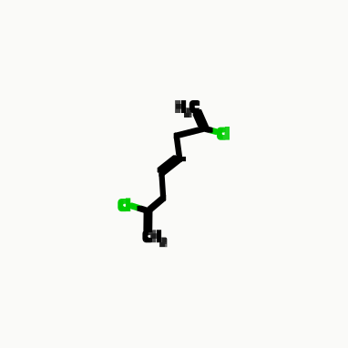 C=C(Cl)C/[C]=C/CC(=C)Cl